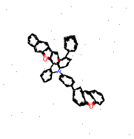 c1ccc(-c2ccc(N(c3ccc(-c4ccc5oc6ccccc6c5c4)cc3)c3ccccc3-c3cccc4c3oc3cc5ccccc5cc34)cc2)cc1